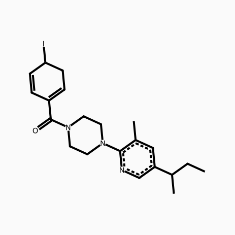 CCC(C)c1cnc(N2CCN(C(=O)C3=CCC(I)C=C3)CC2)c(C)c1